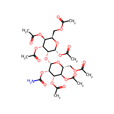 CC(=O)OC[C@H]1O[C@H](OC(C)=O)[C@H](O[C@@H]2O[C@H](COC(C)=O)[C@@H](OC(C)=O)[C@H](OC(C)=O)[C@@H]2OC(N)=O)[C@H](OC(C)=O)[C@H]1OC(C)=O